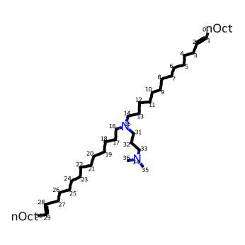 CCCCCCCCC=CCCCCCCCCCCCCN(CCCCCCCCCCCCC=CCCCCCCCC)CCCN(C)C